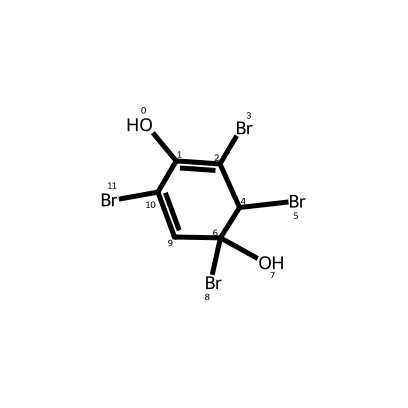 OC1=C(Br)C(Br)C(O)(Br)C=C1Br